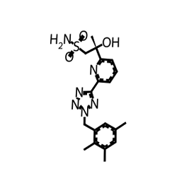 Cc1cc(C)c(C)c(Cn2nnc(-c3cccc([C@@](C)(O)CS(N)(=O)=O)n3)n2)c1